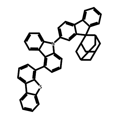 c1ccc2c(c1)-c1ccc(-n3c4ccccc4c4c(-c5cccc6c5sc5ccccc56)cccc43)cc1C21C2CC3CC(C2)CC1C3